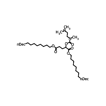 CCCCCCCCCCCCCCCCCCOC(=O)CCC(OC(=O)N(C)CCN(C)C)C(=O)OCCCCCCCCCCCCCCCCCC